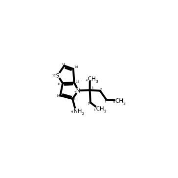 CCCC(C)(CC)n1c(N)cc2sccc21